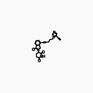 C#Cc1cncn1CCCC#Cc1cccc2c1CN(C1CCC(=O)NC1=O)C2=O